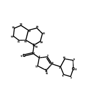 O=C(C1C=C(C2CCOCC2)SC1)N1CCCC2CCCCC21